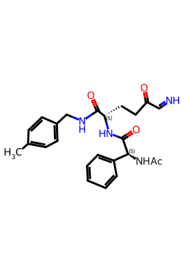 CC(=O)N[C@H](C(=O)N[C@@H](CCC(=O)C=N)C(=O)NCc1ccc(C)cc1)c1ccccc1